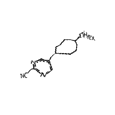 CCCCCCC1CCC(c2cnc(C#N)nc2)CC1